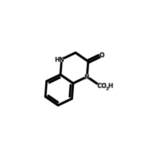 O=C(O)N1C(=O)CNc2ccccc21